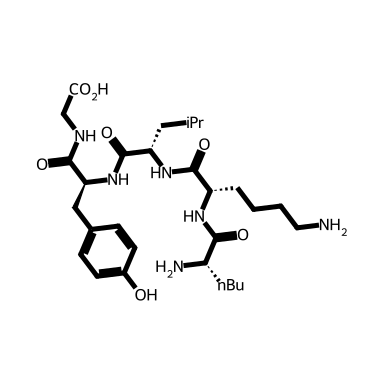 CCCC[C@H](N)C(=O)N[C@@H](CCCCN)C(=O)N[C@@H](CC(C)C)C(=O)N[C@@H](Cc1ccc(O)cc1)C(=O)NCC(=O)O